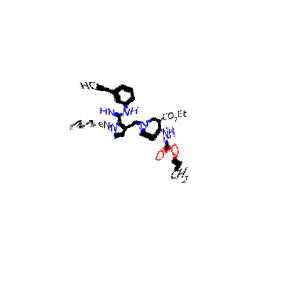 C#Cc1cccc(NC(=N)c2c(CN3CC[C@@H](NC(=O)OCC=C)[C@@H](C(=O)OCC)C3)ccn2NC)c1